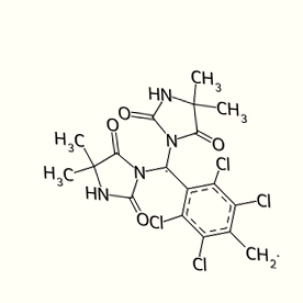 [CH2]c1c(Cl)c(Cl)c([C](N2C(=O)NC(C)(C)C2=O)N2C(=O)NC(C)(C)C2=O)c(Cl)c1Cl